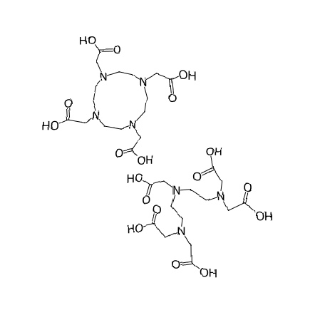 O=C(O)CN(CCN(CC(=O)O)CC(=O)O)CCN(CC(=O)O)CC(=O)O.O=C(O)CN1CCN(CC(=O)O)CCN(CC(=O)O)CCN(CC(=O)O)CC1